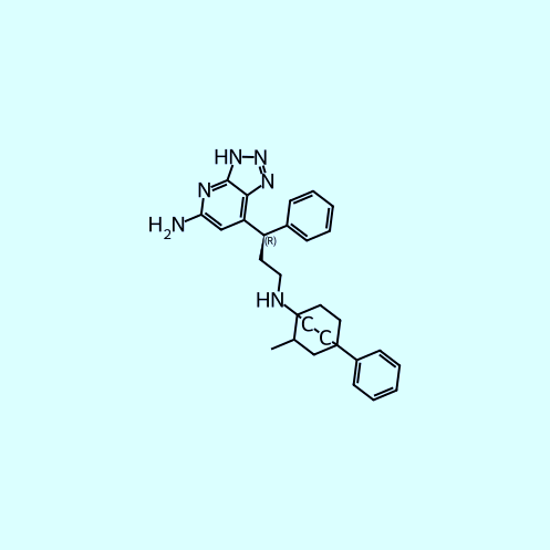 CC1CC2(c3ccccc3)CCC1(NCC[C@H](c1ccccc1)c1cc(N)nc3[nH]nnc13)CC2